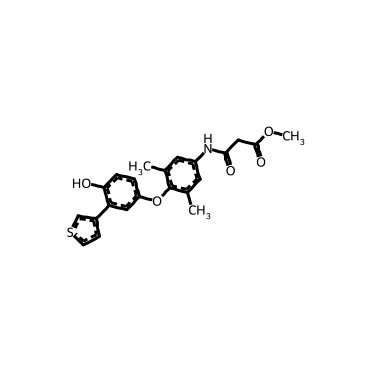 COC(=O)CC(=O)Nc1cc(C)c(Oc2ccc(O)c(-c3ccsc3)c2)c(C)c1